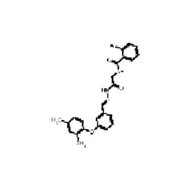 Cc1ccc(Oc2cccc(/C=N/NC(=O)CNC(=O)c3ccccc3Br)c2)c(C)c1